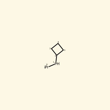 CC(C)PC1CCC1